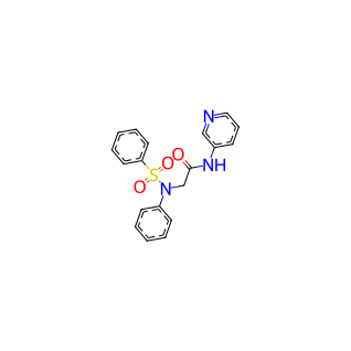 O=C(CN(c1ccccc1)S(=O)(=O)c1ccccc1)Nc1cccnc1